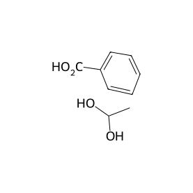 CC(O)O.O=C(O)c1ccccc1